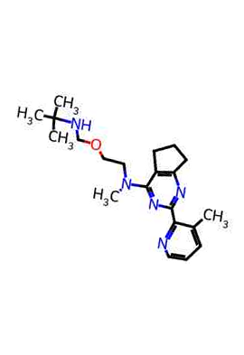 Cc1cccnc1-c1nc2c(c(N(C)CCOCNC(C)(C)C)n1)CCC2